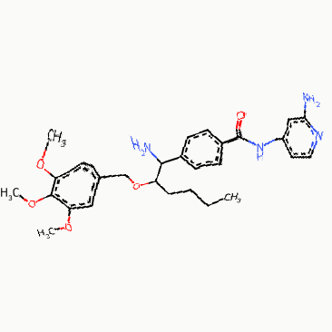 CCCCC(OCc1cc(OC)c(OC)c(OC)c1)C(N)c1ccc(C(=O)Nc2ccnc(N)c2)cc1